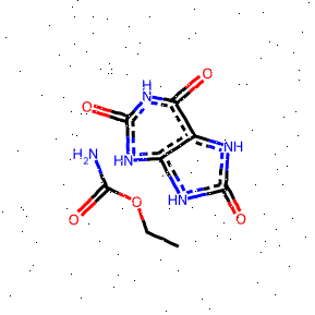 CCOC(N)=O.O=c1[nH]c(=O)c2[nH]c(=O)[nH]c2[nH]1